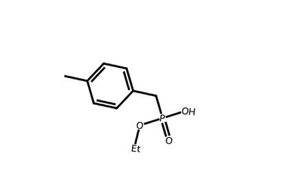 CCOP(=O)(O)Cc1ccc(C)cc1